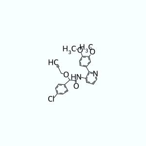 C#CCOC(C(=O)Nc1cccnc1-c1ccc(OC)c(OC)c1)c1ccc(Cl)cc1